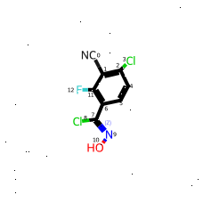 N#Cc1c(Cl)ccc(/C(Cl)=N/O)c1F